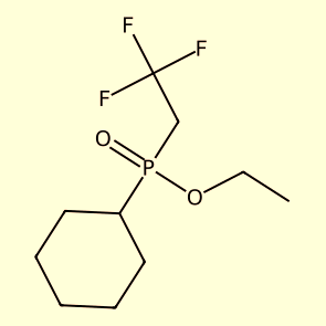 CCOP(=O)(CC(F)(F)F)C1CCCCC1